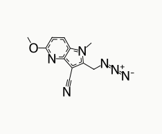 COc1ccc2c(n1)c(C#N)c(CN=[N+]=[N-])n2C